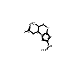 CC1CNc2nc(NC=O)cn2C1CC(N)=O